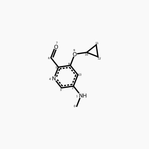 CNc1cnc(C=O)c(OC2CC2)c1